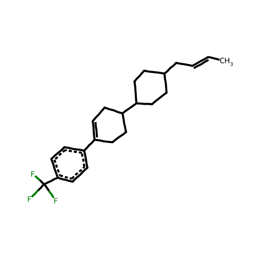 C/C=C/CC1CCC(C2CC=C(c3ccc(C(F)(F)F)cc3)CC2)CC1